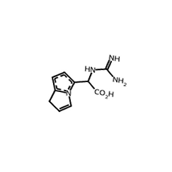 N=C(N)NC(C(=O)O)c1ccc2n1C=CC2